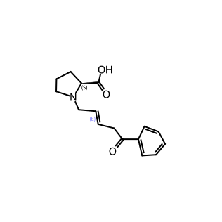 O=C(C/C=C/CN1CCC[C@H]1C(=O)O)c1ccccc1